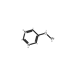 CC(C)Oc1cn[c]nc1